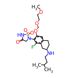 COCCOCOc1cc2c(c(F)c1N1CC(=O)NS1(=O)=O)C[C@H](NCCC(C)C)CC2